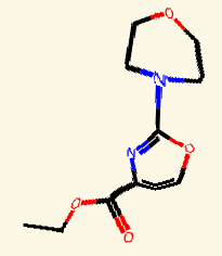 CCOC(=O)c1coc(N2CCOCC2)n1